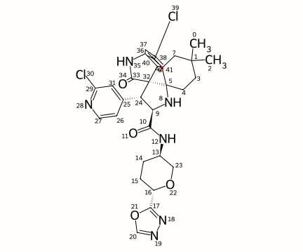 CC1(C)CCC2(CC1)N[C@@H](C(=O)N[C@@H]1CC[C@@H](c3nnco3)OC1)[C@H](c1ccnc(Cl)c1)[C@]21C(=O)Nc2cc(Cl)ccc21